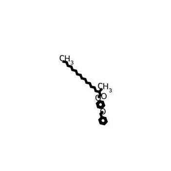 CCCCCCCCCCCCCCCCC(CC)C(=O)Oc1ccc(OCc2ccccc2)cc1